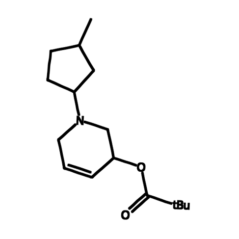 CC1CCC(N2CC=CC(OC(=O)C(C)(C)C)C2)C1